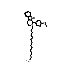 CCCCCCCCCCCCCCN1CCc2c([nH]c3ccccc23)C1c1ccc(OC)cc1